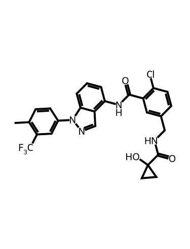 Cc1ccc(-n2ncc3c(NC(=O)c4cc(CNC(=O)C5(O)CC5)ccc4Cl)cccc32)cc1C(F)(F)F